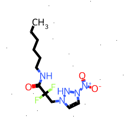 CCCCCCNC(=O)C(F)(F)CN1C=CN([N+](=O)[O-])N1